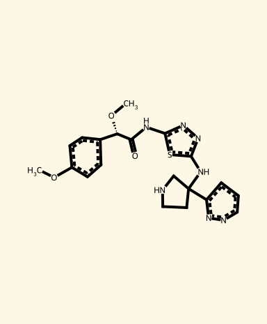 COc1ccc([C@H](OC)C(=O)Nc2nnc(NC3(c4cccnn4)CCNC3)s2)cc1